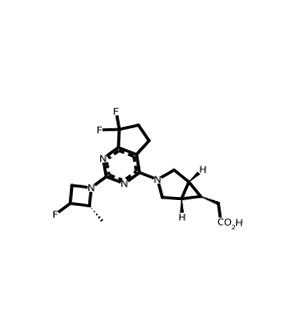 C[C@@H]1C(F)CN1c1nc(N2C[C@@H]3[C@@H](CC(=O)O)[C@@H]3C2)c2c(n1)C(F)(F)CC2